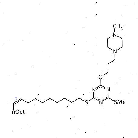 CCCCCCCC/C=C\CCCCCCCCSc1nc(OCCCN2CCN(C)CC2)nc(SC)n1